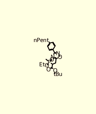 CCCCCc1ccc(-c2noc(CC(C(=O)OC(C)(C)C)P(C)(=O)OCC)n2)cc1